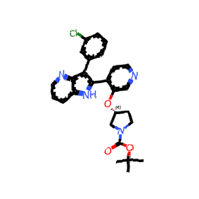 CC(C)(C)OC(=O)N1CC[C@@H](Oc2cnccc2-c2[nH]c3cccnc3c2-c2cccc(Cl)c2)C1